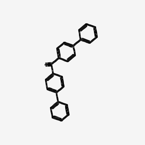 c1ccc(-c2ccc([SiH]c3ccc(-c4ccccc4)cc3)cc2)cc1